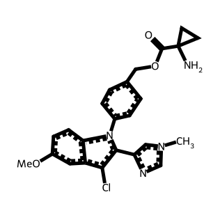 COc1ccc2c(c1)c(Cl)c(-c1cn(C)cn1)n2-c1ccc(COC(=O)C2(N)CC2)cc1